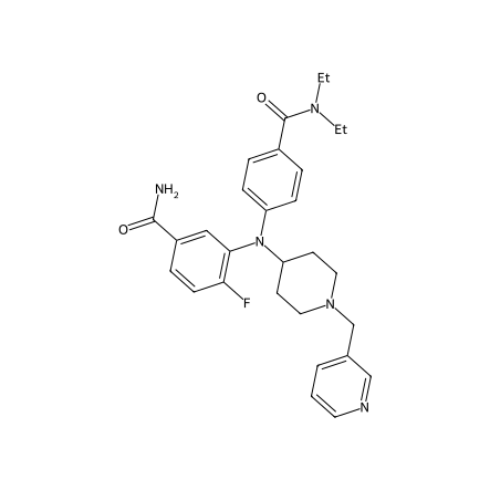 CCN(CC)C(=O)c1ccc(N(c2cc(C(N)=O)ccc2F)C2CCN(Cc3cccnc3)CC2)cc1